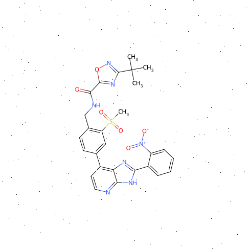 CC(C)(C)c1noc(C(=O)NCc2ccc(-c3ccnc4[nH]c(-c5ccccc5[N+](=O)[O-])nc34)cc2S(C)(=O)=O)n1